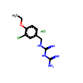 CCOc1ccc(CNC(=N)NC(=N)N)cc1Cl.Cl